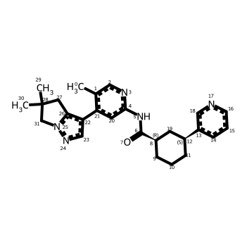 Cc1cnc(NC(=O)[C@@H]2CCC[C@H](c3cccnc3)C2)cc1-c1cnn2c1CC(C)(C)C2